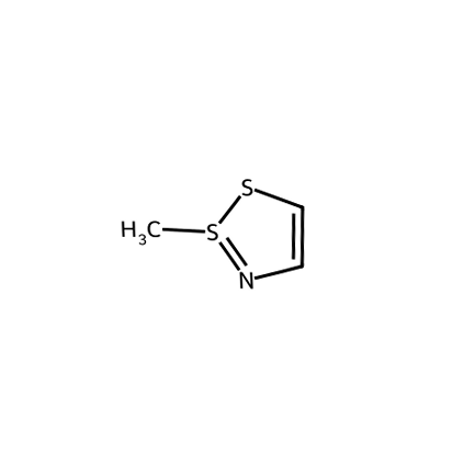 CS1=NC=CS1